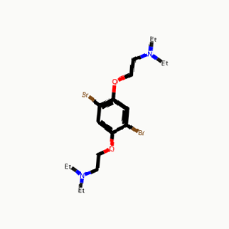 CCN(CC)CCOc1cc(Br)c(OCCN(CC)CC)cc1Br